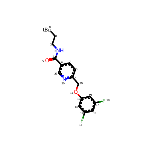 CC(C)(C)CCNC(=O)c1ccc(COc2cc(F)cc(F)c2)nc1